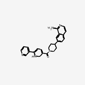 Nc1nccc2ccc(C3CCN(C(=O)C4=CC=C(c5cccnc5)NC4)CC3)cc12